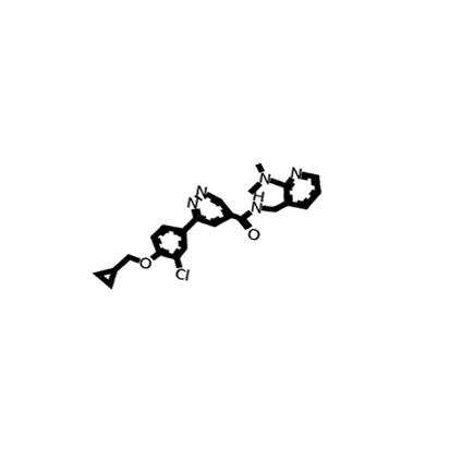 CN(C)c1ncccc1CNC(=O)c1cnnc(-c2ccc(OCC3CC3)c(Cl)c2)c1